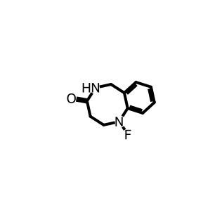 O=C1CCN(F)c2ccccc2CN1